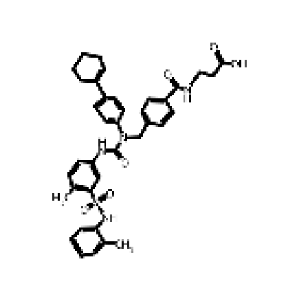 Cc1ccccc1NS(=O)(=O)c1cc(NC(=O)N(Cc2ccc(C(=O)NCCC(=O)O)cc2)c2ccc(C3=CCCCC3)cc2)ccc1C